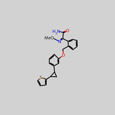 CON=C(C(N)=O)c1ccccc1COc1cccc(C2CC2c2cccs2)c1